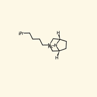 CC(=O)N1[C@@H]2CC[C@H]1CN(CCCCC(C)C)C2